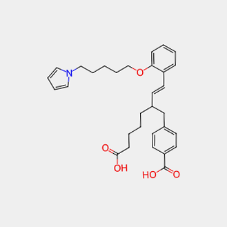 O=C(O)CCCCC(/C=C/c1ccccc1OCCCCCn1cccc1)Cc1ccc(C(=O)O)cc1